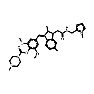 COc1cc(/C=C2\c3ccc(F)cc3C(CC(=O)NCc3cccn3C)C2C)cc(OC)c1OC(=O)N1CCN(C)CC1